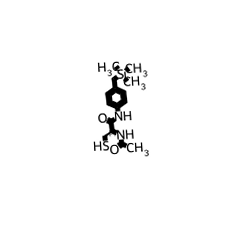 CC(=O)N[C@@H](CS)C(=O)Nc1ccc(C[Si](C)(C)C)cc1